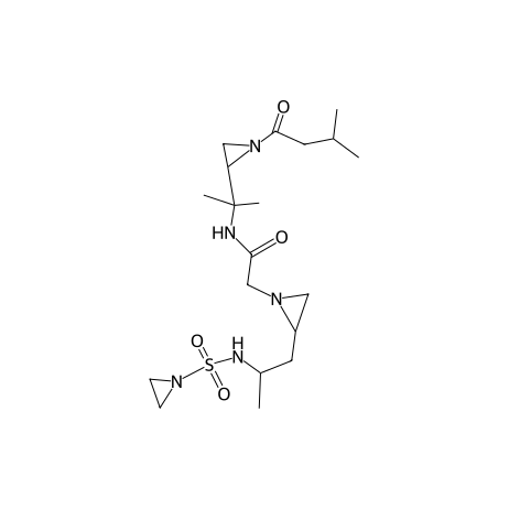 CC(C)CC(=O)N1CC1C(C)(C)NC(=O)CN1CC1CC(C)NS(=O)(=O)N1CC1